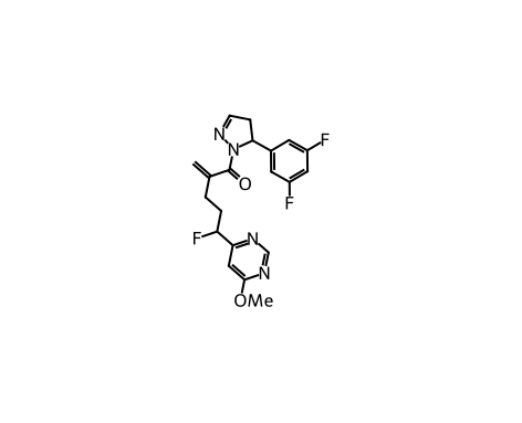 C=C(CCC(F)c1cc(OC)ncn1)C(=O)N1N=CCC1c1cc(F)cc(F)c1